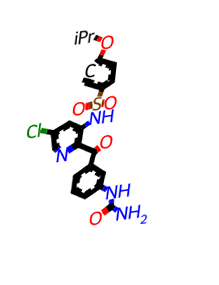 CC(C)Oc1ccc(S(=O)(=O)Nc2cc(Cl)cnc2C(=O)c2cccc(NC(N)=O)c2)cc1